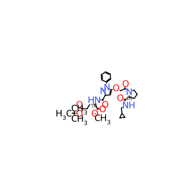 COC(=O)[C@H](CCC(=O)OC(C)(C)C)NC(=O)c1cc(OCC(=O)N2CCC[C@H]2C(=O)NCC2CC2)n(-c2ccccc2)n1